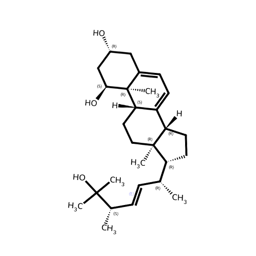 C[C@H](/C=C/[C@H](C)C(C)(C)O)[C@H]1CC[C@H]2C3=CC=C4C[C@@H](O)C[C@H](O)[C@]4(C)[C@H]3CC[C@]12C